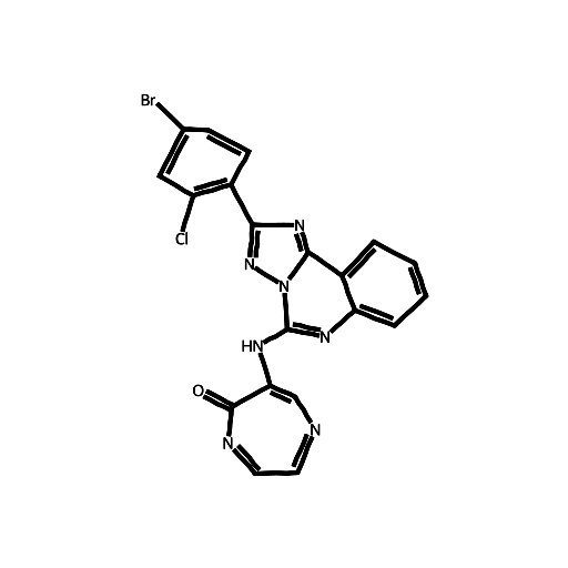 O=c1nccncc1Nc1nc2ccccc2c2nc(-c3ccc(Br)cc3Cl)nn12